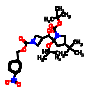 C[SiH](C)O[C@]1(C(O)C2CN(C(=O)OCc3ccc([N+](=O)[O-])cc3)C2)C[C@H](C(C)(C)C)CN1C(=O)OC(C)(C)C